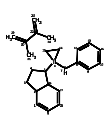 C1=CC2CC[CH]([Ti]3([PH]c4ccccc4)[CH2][CH2]3)C2C=C1.C=C(C)C(=C)C